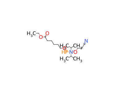 CCOC(=O)CCCCCOP[N+](OCCC#N)(C(C)C)C(C)C